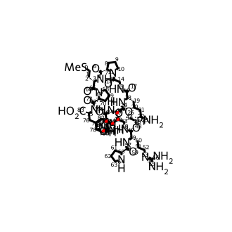 CSCC[C@H](NC(=O)[C@@H]1CCCN1C(=O)CNC(=O)[C@H](CCCCN)NC(=O)[C@H](Cc1cnc[nH]1)NC(=O)[C@H](CO)NC(=O)[C@H](CC(C)C)NC(=O)[C@H](CCCN=C(N)N)NC(=O)[C@@H]1CCCN1)C(=O)N1CCC[C@H]1C(=O)N[C@@H](Cc1ccccc1)C(=O)O